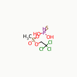 CS(=O)(=O)OCC(Cl)(Cl)Cl.O[PH](O)=S